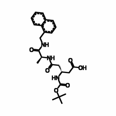 C[C@H](NC(=O)C[C@H](CC(=O)O)NC(=O)OC(C)(C)C)C(=O)NCc1cccc2ccccc12